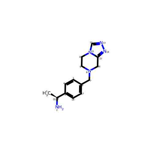 C[C@H](N)c1ccc(CN2CCn3cnnc3C2)cc1